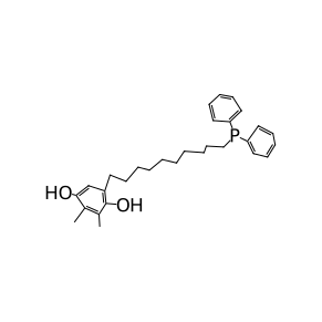 Cc1c(O)cc(CCCCCCCCCCP(c2ccccc2)c2ccccc2)c(O)c1C